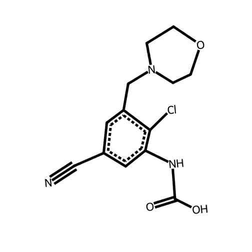 N#Cc1cc(CN2CCOCC2)c(Cl)c(NC(=O)O)c1